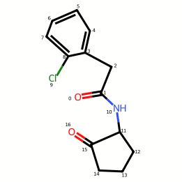 O=C(Cc1ccccc1Cl)NC1CCCC1=O